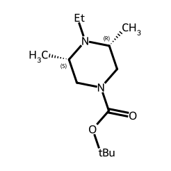 CCN1[C@H](C)CN(C(=O)OC(C)(C)C)C[C@@H]1C